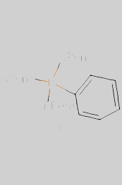 CCCCC[P+](CCCCC)(CCCCC)c1ccccc1.[I-]